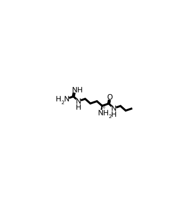 CCCNC(=O)[C@@H](N)CCCNC(=N)N